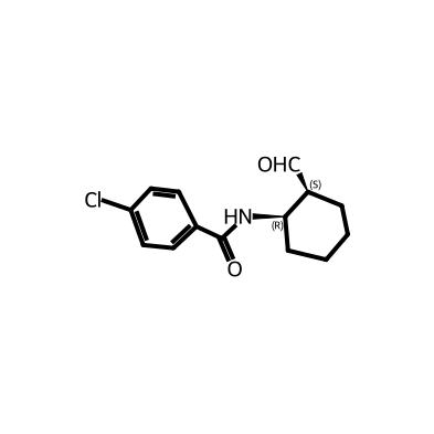 O=C[C@H]1CCCC[C@H]1NC(=O)c1ccc(Cl)cc1